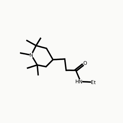 CCNC(=O)CCC1CC(C)(C)N(C)C(C)(C)C1